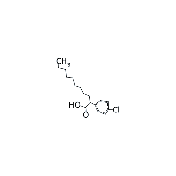 CCCCCCCCCC(C(=O)O)c1ccc(Cl)cc1